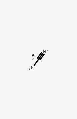 N#[C][K].[Pt]